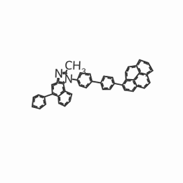 Cc1nc2cc(-c3ccccc3)c3ccccc3c2n1-c1ccc(-c2ccc(-c3ccc4ccc5cccc6ccc3c4c56)cc2)cc1